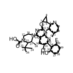 Cc1ccnc(C2CC2)c1-n1c(=O)nc(N2CCN(C(=O)O)C(C(C)(C)C)[C@@H]2C)c2cc(Cl)c(-c3c(O)cccc3F)nc21